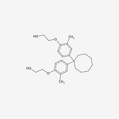 Cc1cc(C2(c3ccc(OCCO)c(C)c3)CCCCCCC2)ccc1OCCO